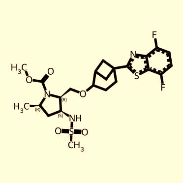 COC(=O)N1[C@H](C)C[C@H](NS(C)(=O)=O)[C@@H]1COC1CCC2(c3nc4c(F)ccc(F)c4s3)CC1C2